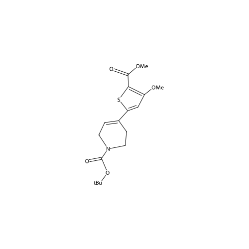 COC(=O)c1sc(C2=CCN(C(=O)OC(C)(C)C)CC2)cc1OC